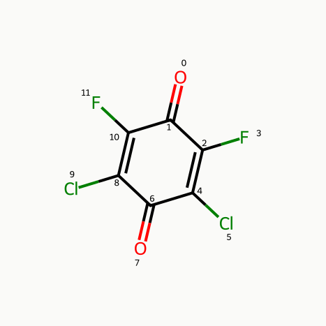 O=C1C(F)=C(Cl)C(=O)C(Cl)=C1F